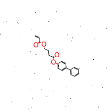 C=CC(=O)OCCCC(=O)Oc1ccc(-c2ccccc2)cc1